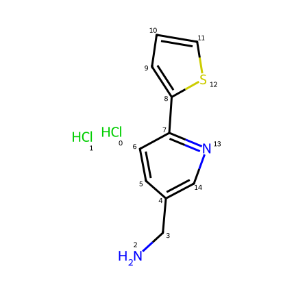 Cl.Cl.NCc1ccc(-c2cccs2)nc1